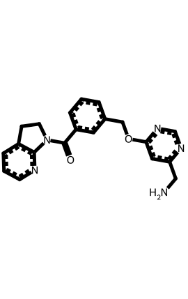 NCc1cc(OCc2cccc(C(=O)N3CCc4cccnc43)c2)ncn1